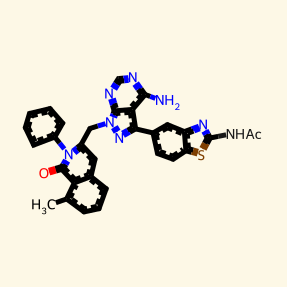 CC(=O)Nc1nc2cc(-c3nn(Cc4cc5cccc(C)c5c(=O)n4-c4ccccc4)c4ncnc(N)c34)ccc2s1